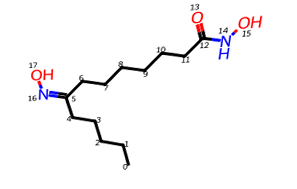 CCCCC/C(CCCCCCC(=O)NO)=N/O